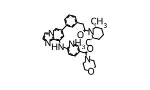 C[C@@H]1CCC[C@H](C)N1C(=O)Cc1cccc(-c2cc(Nc3ccc(C(=O)N4CCOCC4)cn3)c3nccn3c2)c1